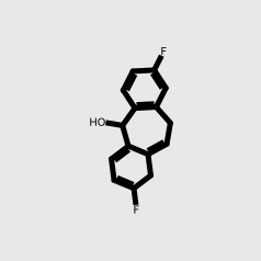 OC1C2=CC=C(F)CC2=CCc2cc(F)ccc21